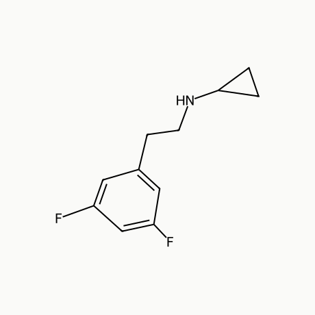 Fc1cc(F)cc(CCNC2CC2)c1